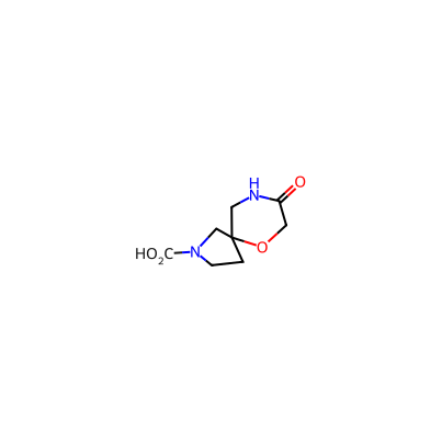 O=C1COC2(CCN(C(=O)O)C2)CN1